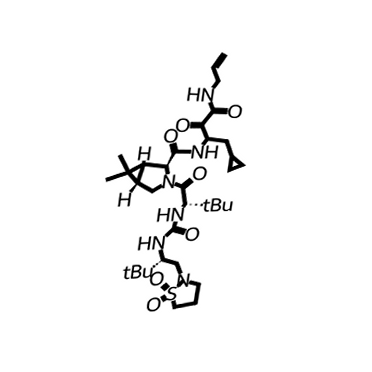 C=CCNC(=O)C(=O)C(CC1CC1)NC(=O)[C@@H]1[C@@H]2[C@H](CN1C(=O)[C@@H](NC(=O)N[C@H](CN1CCCS1(=O)=O)C(C)(C)C)C(C)(C)C)C2(C)C